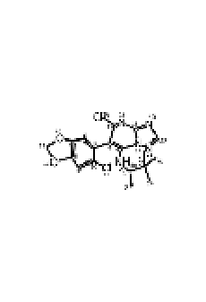 C[C@@H](Nc1c(-c2cc3c(cc2Cl)OCO3)c(Cl)nc2ncnn12)C(C)(C)C